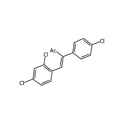 CC(=O)C(=Cc1ccc(Cl)cc1Cl)c1ccc(Cl)cc1